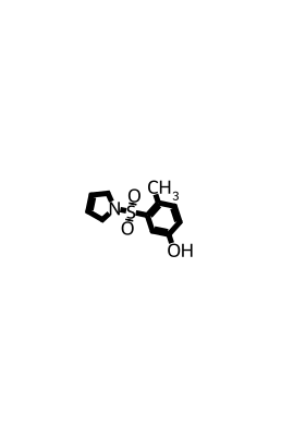 Cc1ccc(O)cc1S(=O)(=O)N1CC=CC1